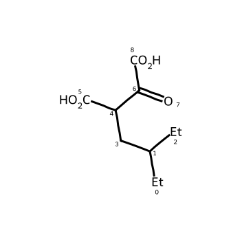 CCC(CC)CC(C(=O)O)C(=O)C(=O)O